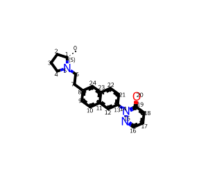 C[C@H]1CCCN1CCc1ccc2cc(-n3ncccc3=O)ccc2c1